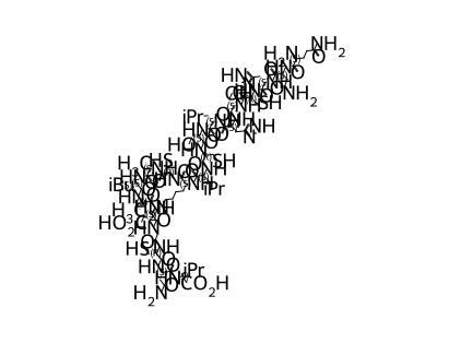 CC[C@H](C)[C@H](NC(=O)[C@H](C)NC(=O)[C@H](CS)NC(=O)[C@H](CCCCN)NC(=O)[C@H](CC(C)C)NC(=O)[C@H](CS)NC(=O)[C@H](CO)NC(=O)[C@H](CC(C)C)NC(=O)[C@H](Cc1c[nH]cn1)NC(=O)[C@H](CO)NC(=O)[C@H](CS)NC(=O)[C@H](Cc1c[nH]cn1)NC(=O)[C@H](CC(N)=O)NC(=O)[C@@H](N)CCC(N)=O)C(=O)N[C@@H](C)C(=O)N[C@@H](CC(=O)O)C(=O)NCC(=O)N[C@@H](CS)C(=O)N[C@@H](CC(N)=O)C(=O)N[C@H](C(=O)O)C(C)C